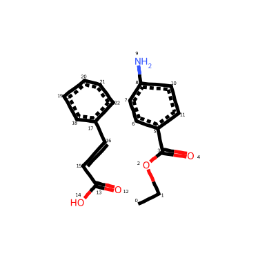 CCOC(=O)c1ccc(N)cc1.O=C(O)/C=C/c1ccccc1